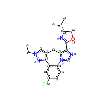 CCn1cc2c(n1)-c1cc(Cl)ccc1-n1cnc(C3=N[C@H](C(C)C)CO3)c1C2